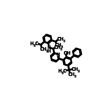 CC(C)c1cccc(C(C)C)c1NC(C)c1cccc(-c2cc(C(C)(C)C)cc(-c3ccccc3)c2O)n1